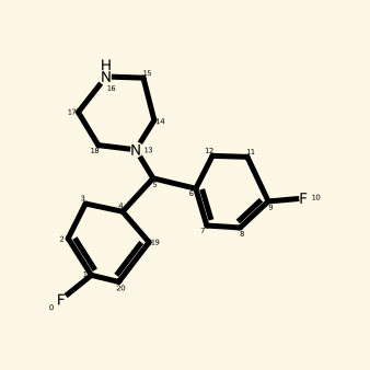 FC1=CCC(C(C2=CC=C(F)CC2)N2CCNCC2)C=C1